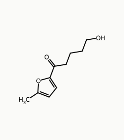 Cc1ccc(C(=O)CCCCO)o1